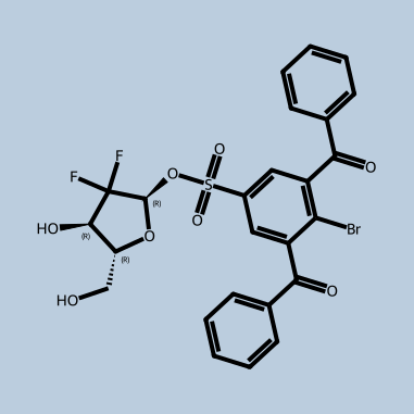 O=C(c1ccccc1)c1cc(S(=O)(=O)O[C@H]2O[C@H](CO)[C@@H](O)C2(F)F)cc(C(=O)c2ccccc2)c1Br